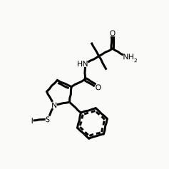 CC(C)(NC(=O)C1=CCN(SI)C1c1ccccc1)C(N)=O